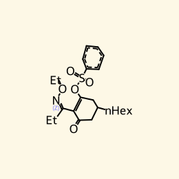 CCCCCCC1CC(=O)C(/C(CC)=N\OCC)=C(OS(=O)(=O)c2ccccc2)C1